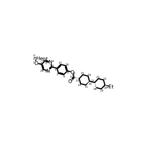 CCCCCCCOc1cnc(-c2ccc(OC(=O)[C@H]3CC[C@H]([C@H]4CC[C@H](CC)CC4)CC3)cc2)nc1